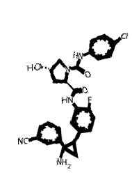 N#Cc1cccc(C2(N)CC2c2ccc(F)c(NC(=O)[C@H]3C[C@H](O)CN3C(=O)Nc3ccc(Cl)cc3)c2)c1